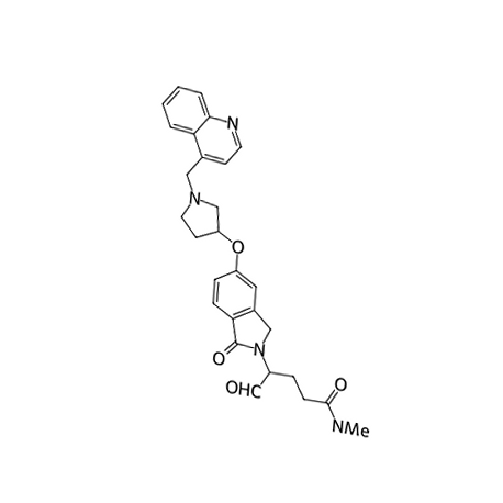 CNC(=O)CCC(C=O)N1Cc2cc(OC3CCN(Cc4ccnc5ccccc45)C3)ccc2C1=O